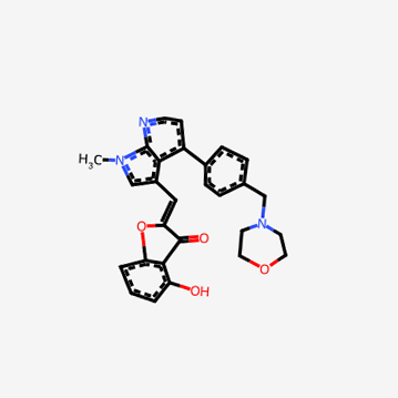 Cn1cc(C=C2Oc3cccc(O)c3C2=O)c2c(-c3ccc(CN4CCOCC4)cc3)ccnc21